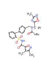 CCCCC(=O)N(Cc1ccc(-c2ccccc2S(=O)(=O)NC(=O)c2onc(C)c2C)cc1)[C@H](c1nc(C)no1)C(C)C